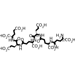 N[C@@H](CCC(=O)N[C@@H](CCC(=O)N[C@@H](CCC(=O)O)C(=O)N[C@@H](CCC(=O)N[C@@H](CCC(=O)O)C(=O)N[C@@H](CCC(=O)O)C(=O)O)C(=O)O)C(=O)O)C(=O)O